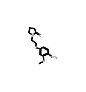 COc1cc(OCCN2CCCC2=O)ccc1N